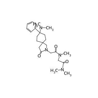 CN(C)C(=O)CN(C)C(=O)CN1CC2(CCC(c3ccccc3)(N(C)C)CC2)CC1=O